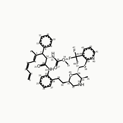 C=C/C=C\C=C(/C)C(c1ccccc1)[C@H](NC(=O)OC)C(=O)Nc1ccccc1CC[C@@H]1CN[C@H](C)[C@@H](CSc2ncccc2C(F)(F)F)O1